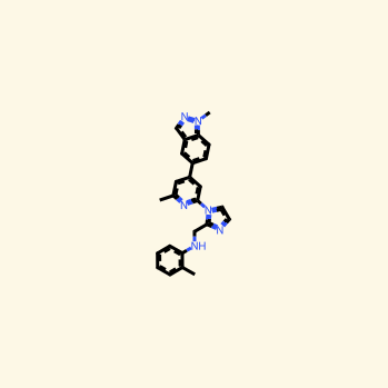 Cc1cc(-c2ccc3c(cnn3C)c2)cc(-n2ccnc2CNc2ccccc2C)n1